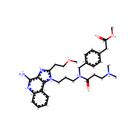 COCCc1nc2c(N)nc3ccccc3c2n1CCCN(Cc1ccc(CC(=O)OC)cc1)C(=O)CCN(C)C